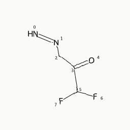 N=NCC(=O)C(F)F